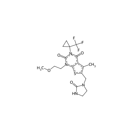 COCCn1c(=O)n(C2(C(F)(F)F)CC2)c(=O)c2c(C)c(CN3CCNC3=O)sc21